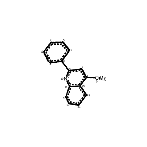 [CH2-][OH+]c1cc(-c2ccccc2)nc2ccccc12